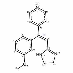 COc1cccc(/C(=C\C2=NCCN2)c2ccncc2)c1